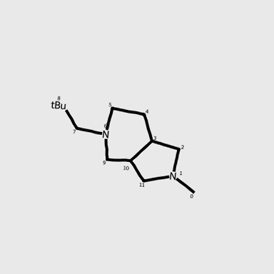 CN1CC2CCN(CC(C)(C)C)CC2C1